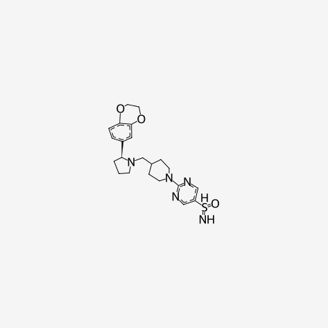 N=[SH](=O)c1cnc(N2CCC(CN3CCC[C@H]3c3ccc4c(c3)OCCO4)CC2)nc1